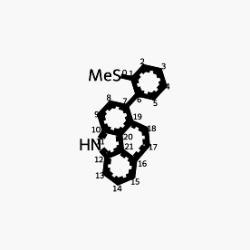 CSc1ccccc1-c1ccc2[nH]c3cccc4ccc1c2c43